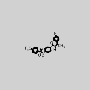 C[C@@H](NC(=O)[C@H]1CC[C@H](NS(=O)(=O)c2ccc(C(F)(F)F)cc2)CC1)c1ccc(F)cc1